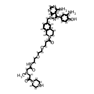 CN(CC(=O)NCCOCCOCCC(=O)N1CCc2cc(Cn3nc(-c4ccc(O)c(N)c4)c4c(N)ncnc43)ccc2C1)CC(=O)N1CCNCC1